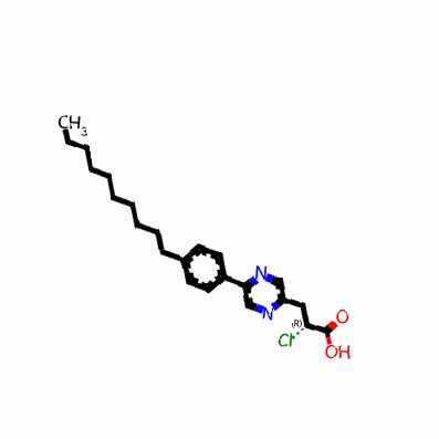 CCCCCCCCCCc1ccc(-c2cnc(C[C@@H](Cl)C(=O)O)cn2)cc1